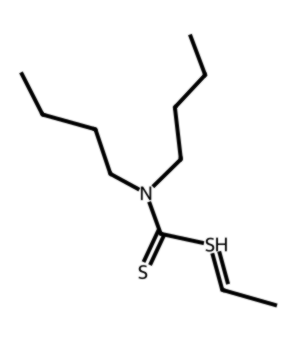 CC=[SH]C(=S)N(CCCC)CCCC